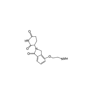 CNCCOc1cccc2c1CN(C1CCC(=O)NC1=O)C2=O